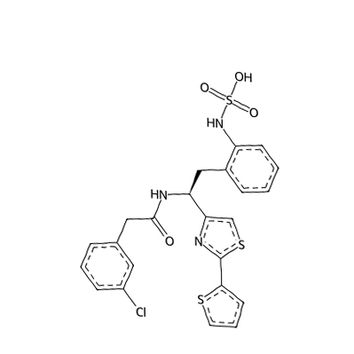 O=C(Cc1cccc(Cl)c1)N[C@@H](Cc1ccccc1NS(=O)(=O)O)c1csc(-c2cccs2)n1